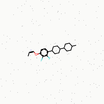 C/C=C\Oc1ccc(C2CCC(C3CCC(C)CC3)CC2)c(F)c1F